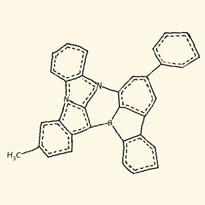 Cc1ccc2c3c4n(c5ccccc5n4c2c1)-c1cc(-c2ccccc2)cc2c1B3c1ccccc1-2